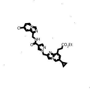 CCOC(=O)CCc1cc(C2CC2)cn2cc(Cn3cc(C(=O)NCc4ncn5ccc(Cl)cc45)cn3)nc12